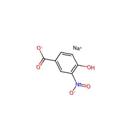 O=C([O-])c1ccc(O)c([N+](=O)[O-])c1.[Na+]